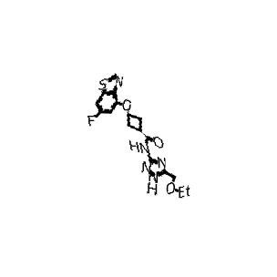 CCOCc1nc(NC(=O)[C@H]2C[C@H](Oc3cc(F)cc4scnc34)C2)n[nH]1